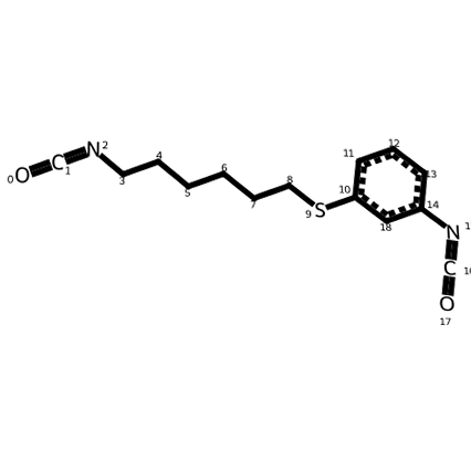 O=C=NCCCCCCSc1cccc(N=C=O)c1